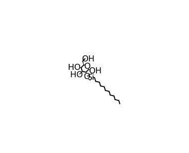 CCCCCCCCCCCC[Si](C)(C)O[C@@H]1[C@@H](O)[C@H](O)[C@@H](CO)O[C@@H]1O